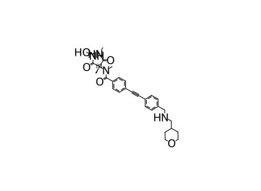 CNC(=O)[C@@](C)(C(=O)NO)N(C)C(=O)c1ccc(C#Cc2ccc(CNCC3CCOCC3)cc2)cc1